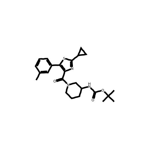 Cc1cccc(-c2sc(C3CC3)nc2C(=O)N2CCCC(NC(=O)OC(C)(C)C)C2)c1